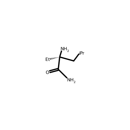 CC[C@](N)(CC(C)C)C(N)=O